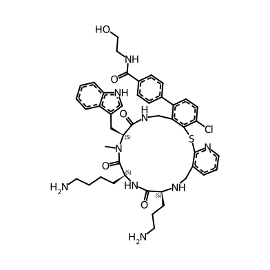 CN1C(=O)[C@H](CCCCN)NC(=O)[C@H](CCCN)NCc2cccnc2Sc2c(Cl)ccc(-c3ccc(C(=O)NCCO)cc3)c2CNC(=O)[C@@H]1Cc1c[nH]c2ccccc12